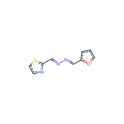 C(=N/N=C/c1nccs1)c1ccco1